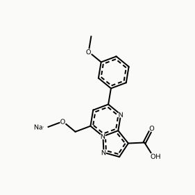 COCc1cc(-c2cccc(OC)c2)nc2c(C(=O)O)cnn12.[Na]